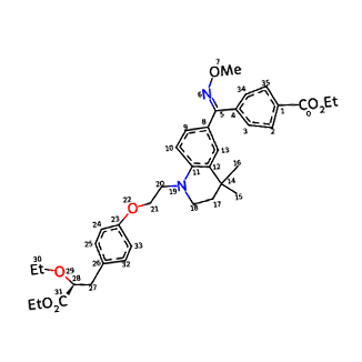 CCOC(=O)c1ccc(/C(=N\OC)c2ccc3c(c2)C(C)(C)CCN3CCOc2ccc(C[C@H](OCC)C(=O)OCC)cc2)cc1